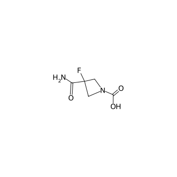 NC(=O)C1(F)CN(C(=O)O)C1